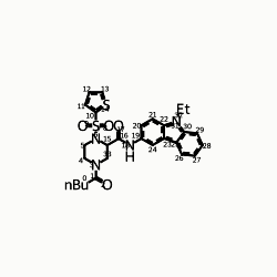 CCCCC(=O)N1CCN(S(=O)(=O)c2cccs2)C(C(=O)Nc2ccc3c(c2)c2ccccc2n3CC)C1